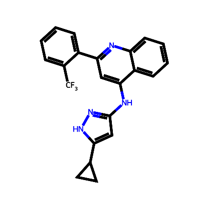 FC(F)(F)c1ccccc1-c1cc(Nc2cc(C3CC3)[nH]n2)c2ccccc2n1